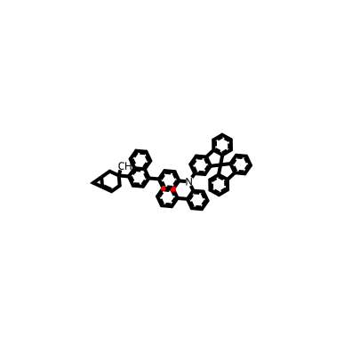 CC1(c2ccc(-c3ccc(N(c4ccc5c(c4)C4(c6ccccc6-c6ccccc64)c4ccccc4-5)c4ccccc4-c4ccccc4)cc3)c3ccccc23)CC=C2CC2C1